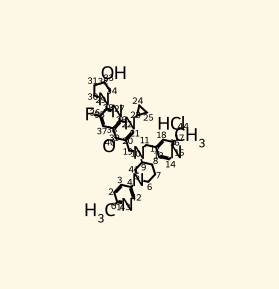 Cc1ccc(N2CCC[C@H](N(Cc3ccnc(C)c3)Cc3cn(C4CC4)c4nc(N5CC[C@@H](O)C5)c(F)cc4c3=O)C2)cn1.Cl